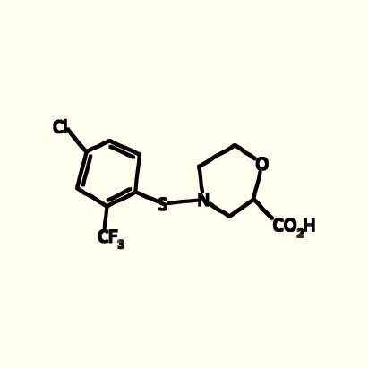 O=C(O)C1CN(Sc2ccc(Cl)cc2C(F)(F)F)CCO1